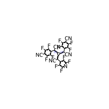 N#CC(=C1C(=C(\C#N)c2c(F)c(F)c(C#N)c(F)c2F)/C1=C(\C#N)c1c(F)c(F)c(C#N)c(F)c1F)c1c(F)c(F)nc(F)c1F